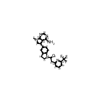 Cn1cc(-c2ccc3c(c2)CCN3C(=O)Cc2cccc(C(F)(F)F)n2)c2c(N)ncnc21